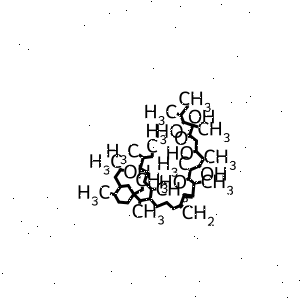 C=C(/C=C/C(C)C(O)C(C)C(O)C(C)C(O)CC(=O)C(C)(O)C(O)C(C)CC)CCCC(C(C)CCCC(C)CC)C(C)C1(CC)CCC(C)C(CC(C)O)C1